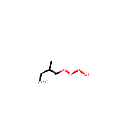 CCCCCCC(C)COOOO